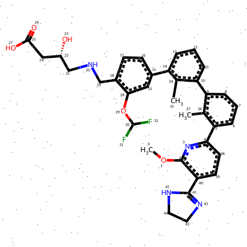 COc1nc(-c2cccc(-c3cccc(-c4ccc(CNC[C@@H](O)CC(=O)O)c(OC(F)F)c4)c3C)c2C)ccc1C1=NCCN1